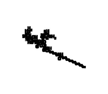 CCCCCCCCCCCCCCCC(=O)NCCCCCCOP(=O)(O)OCC1OC(n2cnc3c(=S)[nH]c(N)nc32)C(O)C1OP(OC)OCC(OC)C(O)C(O)n1cnc2c(=S)[nH]c(N)nc21